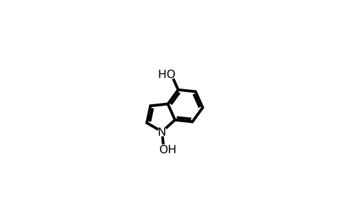 Oc1cccc2c1ccn2O